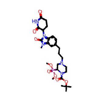 COP(=O)(OC)C1CN(CCCc2ccc3c(c2)n(C)c(=O)n3C2CCC(=O)NC2=O)CCN1C(=O)OC(C)(C)C